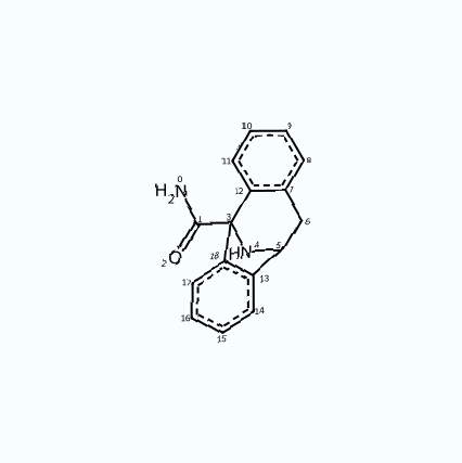 NC(=O)C12NC(Cc3ccccc31)c1ccccc12